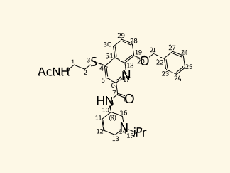 CC(=O)NCCSc1cc(C(=O)N[C@@H]2CCCN(C(C)C)C2)nc2c(OCc3ccccc3)cccc12